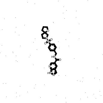 O=C(NCc1ccc(S(=O)(=O)N2CCC3(CCCO3)C2)cc1)c1cnc2[nH]ncc2c1